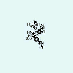 CC(C)(C)C[C@]1(c2ccc(-c3cnn(C(F)F)c3)cc2)NC(=N)N([C@H](COC(=O)NC2(C)CC2)c2ccc(Cl)c(-n3cncn3)c2)C1=O